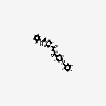 Cc1ccccc1NC(=O)N1CCN(C(=O)CNC(=O)c2ccc(OCc3ccccc3)cc2)CC1